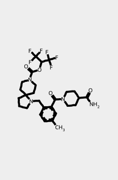 Cc1ccc(CN2CCCC23CCN(C(=O)OC(C(F)(F)F)C(F)(F)F)CC3)c(C(=O)N2CCC(C(N)=O)CC2)c1